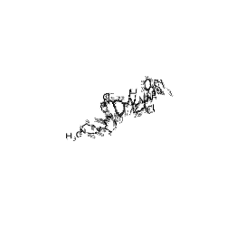 CN1CCN(C2CCN(c3ccc(Nc4ncc(Cl)c(Nc5ccccc5P(C)(C)=O)n4)cc3[N+](=O)[O-])CC2)CC1